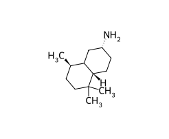 C[C@@H]1CCC(C)(C)[C@H]2CC[C@@H](N)CC12